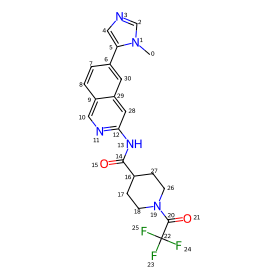 Cn1cncc1-c1ccc2cnc(NC(=O)C3CCN(C(=O)C(F)(F)F)CC3)cc2c1